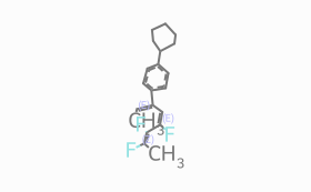 C\C=C(/C=C(F)\C(F)=C(/C)F)c1ccc(C2CCCCC2)cc1